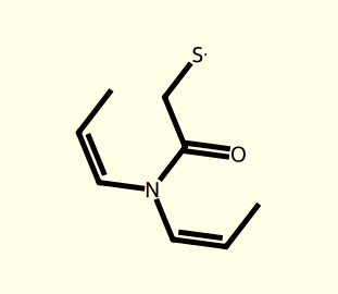 C/C=C\N(/C=C\C)C(=O)C[S]